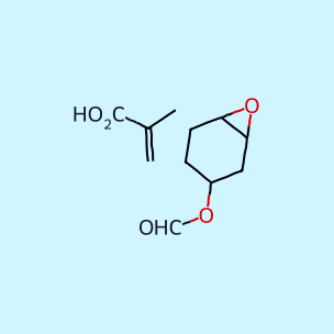 C=C(C)C(=O)O.O=COC1CCC2OC2C1